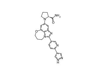 NC(=O)[C@@H]1CCCN1c1cc2c3c(c1)nc(-c1ccc(-c4cn[nH]c4)nc1)n3CCCO2